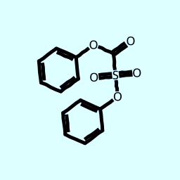 O=C(Oc1ccccc1)S(=O)(=O)Oc1ccccc1